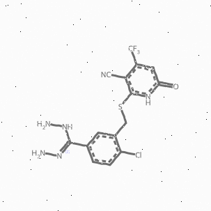 N#Cc1c(C(F)(F)F)cc(=O)[nH]c1SCc1cc(/C(=N/N)NN)ccc1Cl